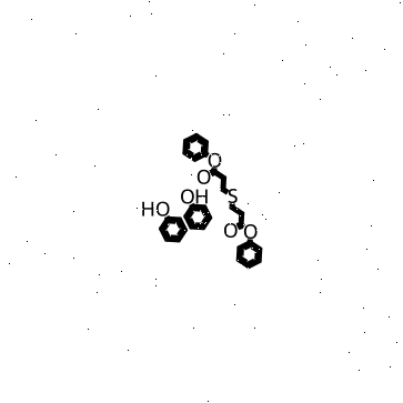 O=C(CCSCCC(=O)Oc1ccccc1)Oc1ccccc1.Oc1ccccc1.Oc1ccccc1